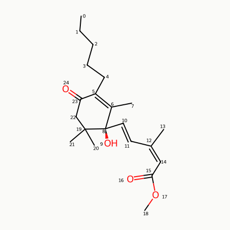 CCCCCC1=C(C)[C@](O)(/C=C/C(C)=C\C(=O)OC)C(C)(C)CC1=O